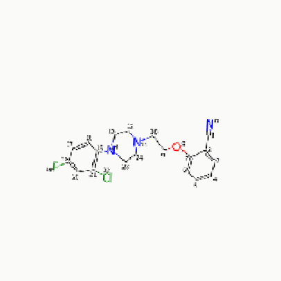 N#Cc1ccccc1OCCN1CCN(c2ccc(F)cc2Cl)CC1